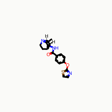 C[C@H]1[C@H](NC(=O)c2ccc(Oc3nccs3)cc2)C2CCN1CC2